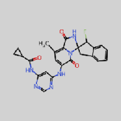 Cc1cc(Nc2cc(NC(=O)C3CC3)ncn2)c(=O)n2c1C(=O)NC21Cc2ccccc2C1F